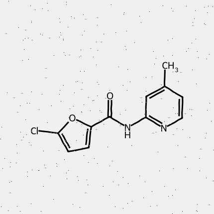 Cc1ccnc(NC(=O)c2ccc(Cl)o2)c1